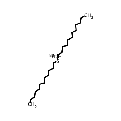 CCCCCCCCCCCCSCCCCCCCCCCCC.[NaH].[NaH]